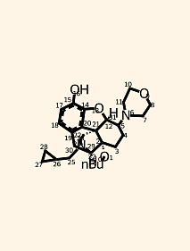 CCCCO[C@@]12CCC(N3CCOCC3)[C@@H]3Oc4c(O)ccc5c4[C@@]31CCN(CC1CC1)[C@@H]2C5